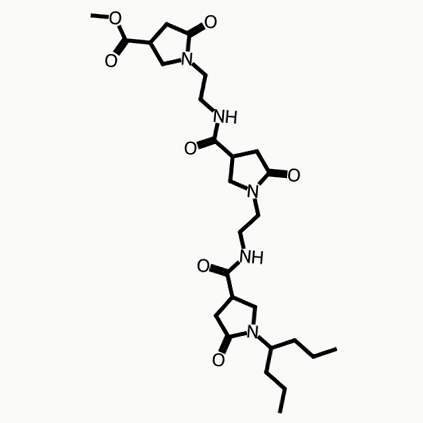 CCCC(CCC)N1CC(C(=O)NCCN2CC(C(=O)NCCN3CC(C(=O)OC)CC3=O)CC2=O)CC1=O